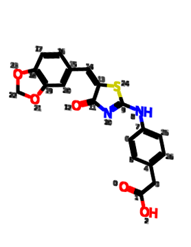 O=C(O)Cc1ccc(NC2=NC(=O)C(=Cc3ccc4c(c3)OCO4)S2)cc1